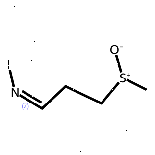 C[S+]([O-])CC/C=N\I